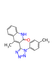 Cc1ccc(-n2nnnc2-c2c(C)c3ccccc3[nH]c2=O)cc1